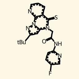 CC(C)(C)c1cc2n(CC(=O)Nc3ccc(F)cn3)c(=S)c3cccnc3n2n1